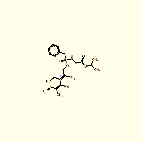 C=N/C(C)=C(O)\C(CO)=C(/C)COP(=O)(NCC(=O)OC(C)C)Oc1ccccc1